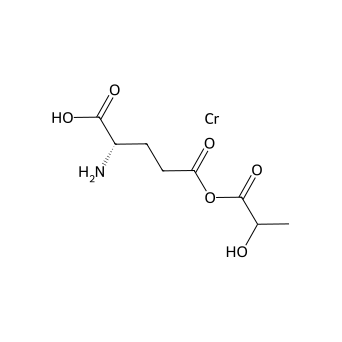 CC(O)C(=O)OC(=O)CC[C@H](N)C(=O)O.[Cr]